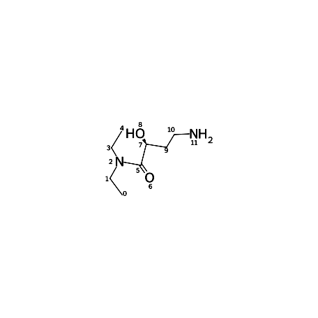 CCN(CC)C(=O)[C@@H](O)CCN